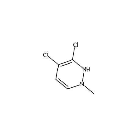 CN1C=CC(Cl)=C(Cl)N1